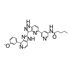 CCCCC(=O)Nc1cncc(-c2ccc3[nH]nc(-c4nc5c(-c6cccc(OC)c6)nccc5[nH]4)c3n2)c1